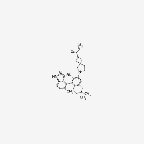 C=CC(=O)N1CC2(CCN(c3nc4c(c(-c5c(C)cnc6[nH]ncc56)c3C#N)CCC(C)(C)C4)C2)C1